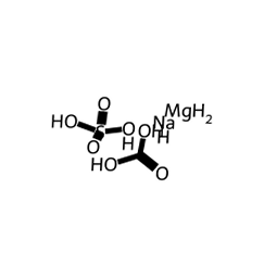 O=C(O)O.O=S(=O)(O)O.[MgH2].[NaH]